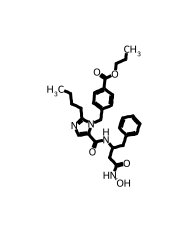 CCCCc1ncc(C(=O)NC(CC(=O)NO)Cc2ccccc2)n1Cc1ccc(C(=O)OCCC)cc1